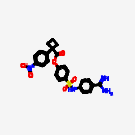 N=C(N)c1ccc(NS(=O)(=O)c2ccc(OC(=O)C3(c4ccc([N+](=O)[O-])cc4)CCC3)cc2)cc1